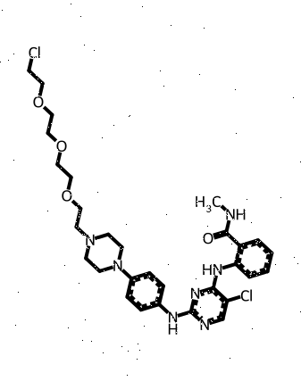 CNC(=O)c1ccccc1Nc1nc(Nc2ccc(N3CCN(CCOCCOCCOCCCl)CC3)cc2)ncc1Cl